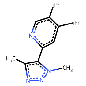 Cc1nnn(C)c1-c1cc(C(C)C)c(C(C)C)cn1